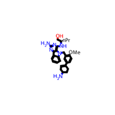 CCC[C@@H](CO)Nc1nc(N)nc2c3ccccc3n(Cc3cc(C4=CCC(N)CC4)ccc3OC)c12